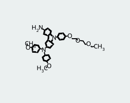 CCOCCOCCOc1ccc(-n2c3ccc(N)cc3c3cc(N(c4ccc(OC)cc4)c4ccc(OC)cc4)ccc32)cc1